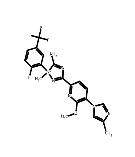 COc1nc(C2=N[N+](C)(c3cc(C(F)(F)F)ccc3F)C(N)=N2)ccc1-n1cnc(C)c1